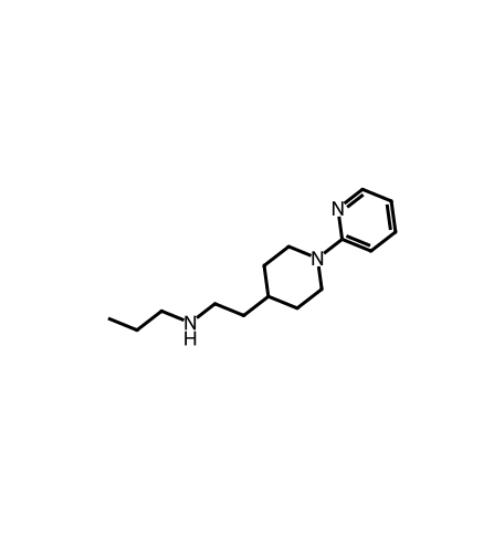 CCCNCCC1CCN(c2ccccn2)CC1